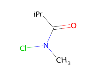 CC(C)C(=O)N(C)Cl